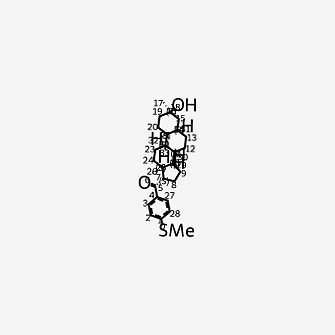 CSc1ccc(C(=O)[C@H]2CC[C@H]3[C@@H]4CC[C@@H]5C[C@](C)(O)CC[C@@H]5[C@H]4CC[C@]23C)cc1